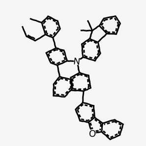 C/C=C\c1c(C)cccc1-c1ccc(-c2ccccc2)c(N(c2ccc(-c3ccc4oc5ccccc5c4c3)cc2)c2ccc3c(c2)C(C)(C)c2ccccc2-3)c1